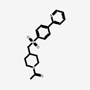 CC(=O)N1CCC(CS(=O)(=O)c2ccc(-c3ccccn3)cc2)CC1